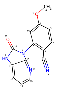 COc1ccc(C#N)c(-n2c(=O)[nH]c3cccnc32)c1